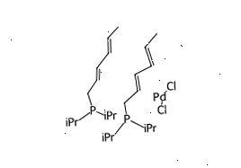 CC=CC=CCP(C(C)C)C(C)C.CC=CC=CCP(C(C)C)C(C)C.[Cl][Pd][Cl]